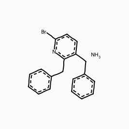 Brc1ccc(Cc2ccccc2)c(Cc2ccccc2)n1.N